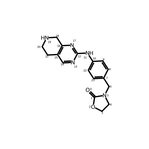 O=C1OCCN1Cc1ccc(Nc2ncc3c(n2)CNCC3)cc1